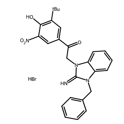 Br.CC(C)(C)c1cc(C(=O)Cn2c(=N)n(Cc3ccccc3)c3ccccc32)cc([N+](=O)[O-])c1O